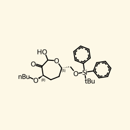 CCCCO[C@@H]1CC[C@@H](CO[Si](c2ccccc2)(c2ccccc2)C(C)(C)C)OC(O)C1=O